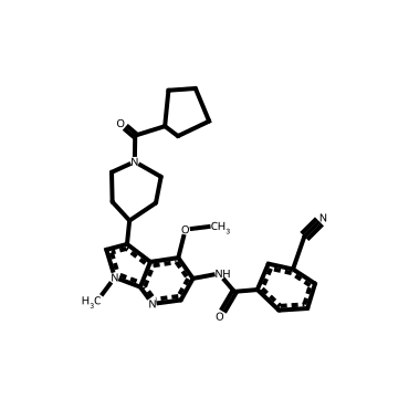 COc1c(NC(=O)c2cccc(C#N)c2)cnc2c1c(C1CCN(C(=O)C3CCCC3)CC1)cn2C